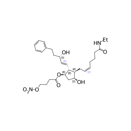 CCNC(=O)CCC/C=C\C[C@@H]1[C@@H](/C=C/[C@@H](O)CCc2ccccc2)[C@H](OC(=O)CCCO[N+](=O)[O-])C[C@@H]1O